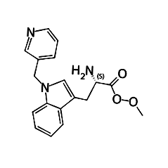 COOC(=O)[C@@H](N)Cc1cn(Cc2cccnc2)c2ccccc12